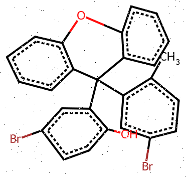 Cc1ccc(Br)cc1C1(c2cc(Br)ccc2O)c2ccccc2Oc2ccccc21